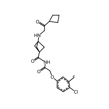 O=C(COc1ccc(Cl)c(F)c1)NC(=O)C12CC(NCC(=O)C3CCC3)(C1)C2